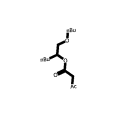 CCCCOCC(CCCC)OC(=O)CC(C)=O